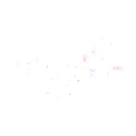 O=C(NC(CO)c1ccccn1)c1ccc2c(-c3ccc(C(F)(F)F)cc3)cccc2c1